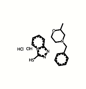 CC1CN(Cc2ccccc2)CCO1.Cl.Cl.Sc1nnc2ccccn12